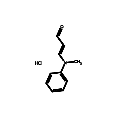 CN(/C=C/C=O)c1ccccc1.Cl